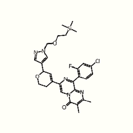 Cc1nc2c(-c3ccc(Cl)cc3F)nc(C3=CC(c4cnn(COCC[Si](C)(C)C)c4)OCC3)cn2c(=O)c1C